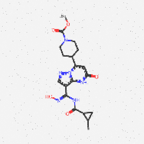 CC1CC1C(=O)N/C(=N/O)c1cnn2c(C3CCN(C(=O)OC(C)(C)C)CC3)cc(=O)[nH]c12